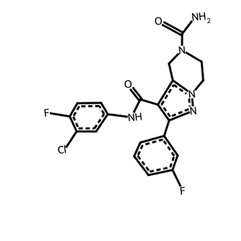 NC(=O)N1CCn2nc(-c3cccc(F)c3)c(C(=O)Nc3ccc(F)c(Cl)c3)c2C1